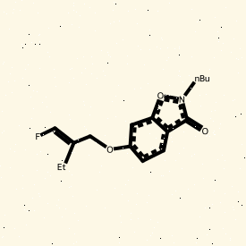 CCCCn1oc2cc(OC/C(=C/F)CC)ccc2c1=O